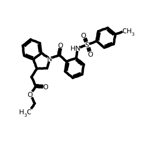 CCOC(=O)CC1CN(C(=O)c2ccccc2NS(=O)(=O)c2ccc(C)cc2)c2ccccc21